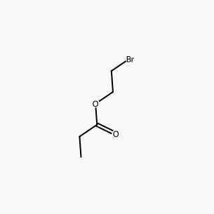 CCC(=O)OCCBr